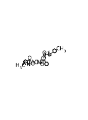 Cc1ccc(-c2ccc(C(=O)N3CC[C@@H](C(=O)N4CCC(O)(Cn5cnc6c(ccn6C)c5=O)CC4)[C@H](c4ccccc4)C3)s2)cc1